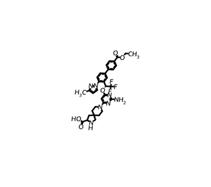 CCOC(=O)c1ccc(-c2ccc(-n3ccc(C)n3)c([C@@H](Oc3cc(N4CCC5(CC4)CNC(C(=O)O)C5)nc(N)n3)C(F)(F)F)c2)cc1